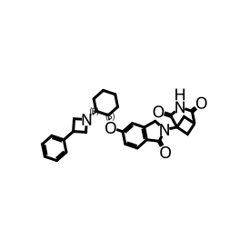 O=C1NC(=O)C2(N3Cc4cc(O[C@H]5CCCC[C@H]5N5CC(c6ccccc6)C5)ccc4C3=O)CC1C2